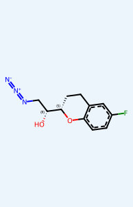 [N-]=[N+]=NC[C@@H](O)[C@@H]1CCc2cc(F)ccc2O1